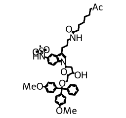 COc1ccc(C(OCC2OC(n3cc(CCCNC(=O)CCCCCCC(C)=O)c4cc(NS(C)(=O)=O)ccc43)CC2O)(c2ccccc2)c2ccc(OC)cc2)cc1